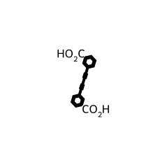 O=C(O)c1cccc(C#CC#Cc2cccc(C(=O)O)c2)c1